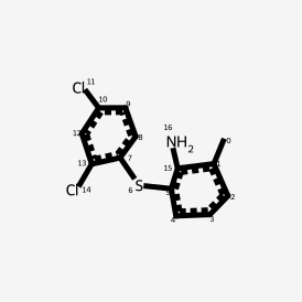 Cc1cccc(Sc2ccc(Cl)cc2Cl)c1N